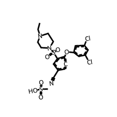 CCN1CCN(S(=O)(=O)c2cc(C#N)ccc2Oc2cc(Cl)cc(Cl)c2)CC1.CS(=O)(=O)O